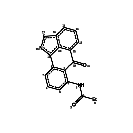 CCC(=O)Nc1cccc2c1C(=O)c1cccc3snc-2c13